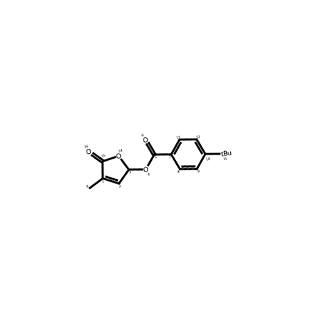 CC1=CC(OC(=O)c2ccc(C(C)(C)C)cc2)OC1=O